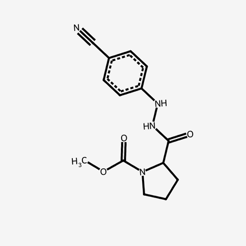 COC(=O)N1CCCC1C(=O)NNc1ccc(C#N)cc1